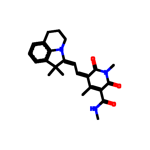 CNC(=O)C1=C(C)/C(=C/C=C2/N3CCCc4cccc(c43)C2(C)C)C(=O)N(C)C1=O